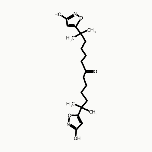 CC(C)(CCCCC(=O)CCCCC(C)(C)c1cc(O)no1)c1cc(O)no1